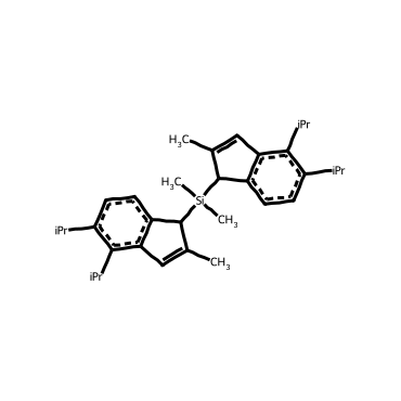 CC1=Cc2c(ccc(C(C)C)c2C(C)C)C1[Si](C)(C)C1C(C)=Cc2c1ccc(C(C)C)c2C(C)C